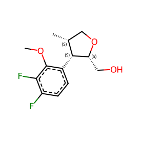 COc1c([C@@H]2[C@H](C)CO[C@@H]2CO)ccc(F)c1F